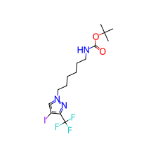 CC(C)(C)OC(=O)NCCCCCCn1cc(I)c(C(F)(F)F)n1